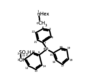 CCCCCCC.O=S(=O)(O)O.c1ccc(P(c2ccccc2)c2ccccc2)cc1